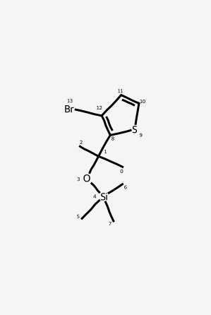 CC(C)(O[Si](C)(C)C)c1sccc1Br